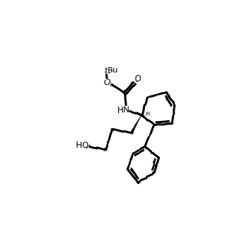 CC(C)(C)OC(=O)N[C@]1(CCCO)CC=CC=C1c1ccccc1